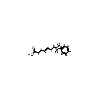 O=C(O)CCC=CCCS(=O)(=O)c1ccccc1